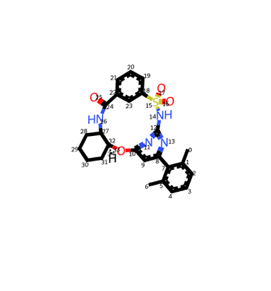 Cc1cccc(C)c1-c1cc2nc(n1)NS(=O)(=O)c1cccc(c1)C(=O)NC1CCCC[C@@H]1O2